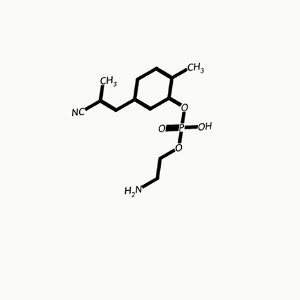 CC(C#N)CC1CCC(C)C(OP(=O)(O)OCCN)C1